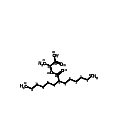 CCCCCCC(CCCCCC)C(=O)OC(C)C(=O)O